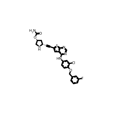 NC(=O)O[C@H]1CN[C@@H](C#Cc2cc3c(Nc4ccc(OCc5cccc(F)c5)c(Cl)c4)ncnc3s2)C1